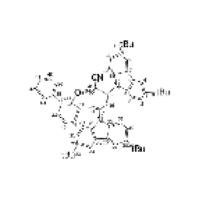 CC(C)(C)c1ccc2c(c1)c1cc(C(C)(C)C)ccc1n2-c1cc(-n2c3ccc(C(C)(C)C)cc3c3cc(C(C)(C)C)ccc32)c2c(oc3c(-c4ccccc4)cccc32)c1C#N